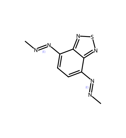 C/N=N/c1ccc(/N=N/C)c2nsnc12